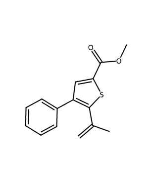 C=C(C)c1sc(C(=O)OC)cc1-c1ccccc1